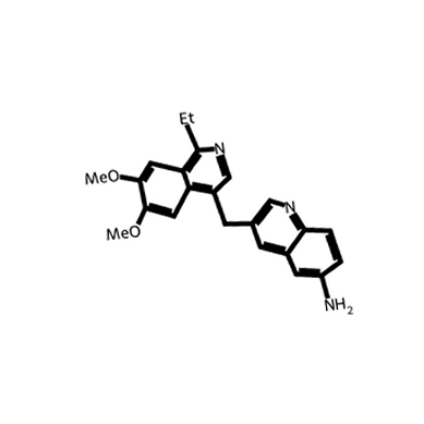 CCc1ncc(Cc2cnc3ccc(N)cc3c2)c2cc(OC)c(OC)cc12